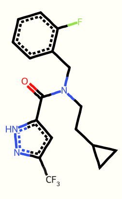 O=C(c1cc(C(F)(F)F)n[nH]1)N(CCC1CC1)Cc1ccccc1F